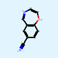 N#Cc1ccc2c(c1)C=NC=CO2